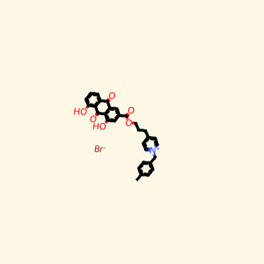 Cc1ccc(C[n+]2ccc(CCCOC(=O)c3cc(O)c4c(c3)C(=O)c3cccc(O)c3C4=O)cc2)cc1.[Br-]